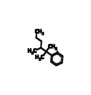 CCCC(C)C(C)(C)c1[c]cccc1